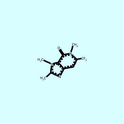 Cc1nc2cc(C(F)(F)F)n(C)c(=O)c2n1C